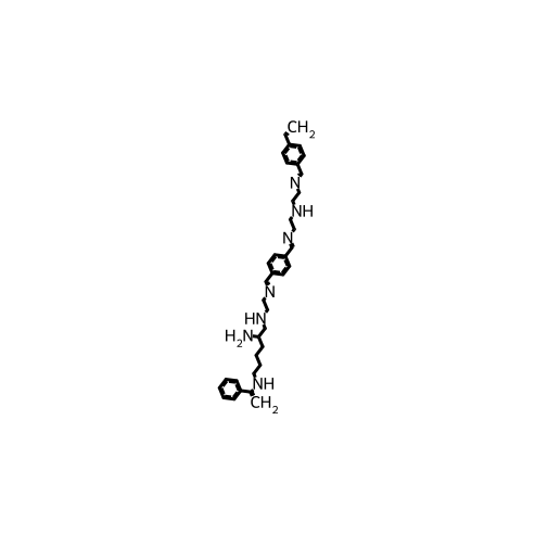 C=Cc1ccc(/C=N/CCNCC/N=C/c2ccc(/C=N/CCNCC(N)CCCCNC(=C)c3ccccc3)cc2)cc1